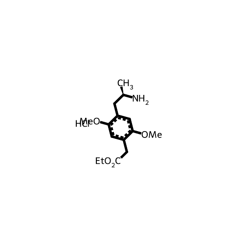 CCOC(=O)Cc1cc(OC)c(C[C@@H](C)N)cc1OC.Cl